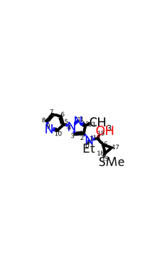 CCN(c1cn(-c2cccnc2)nc1C)C(O)C1CC1SC